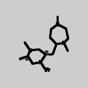 CC(C)N1C[C@@H](C)N(C)C[C@@H]1CC1CCN(C)CCN1C